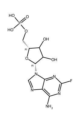 Nc1nc(F)nc2c1ncn2[C@@H]1O[C@H](COP(=O)(O)O)C(O)C1O